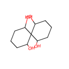 OC1CCCC(O)C12C(O)CCCC2O